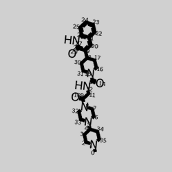 CN1CCC(N2CCN(C(=O)CNC(=O)N3CCC(c4cc5ccccc5[nH]c4=O)CC3)CC2)CC1